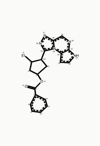 CCC1CC(OC(=O)c2ccccc2)CC1c1nnc2cnc3[nH]ccc3n12